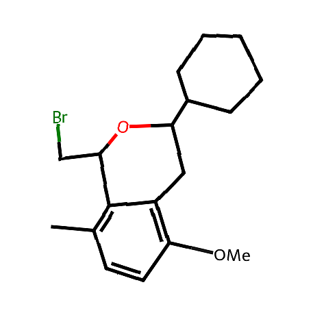 COc1ccc(C)c2c1CC(C1CCCCC1)OC2CBr